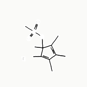 CC1=C(C)C(C)(OS(C)(=O)=O)C(C)=C1C.[Ti]